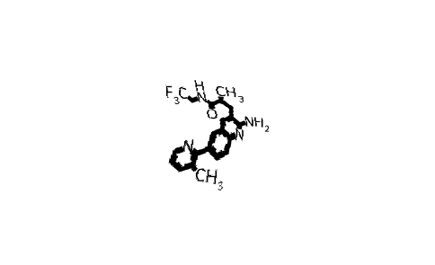 Cc1cccnc1-c1ccc2nc(N)c(CC(C)C(=O)NCC(F)(F)F)cc2c1